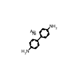 Nc1ccc(-c2ccc(N)cc2)cc1.[Au].[Ni]